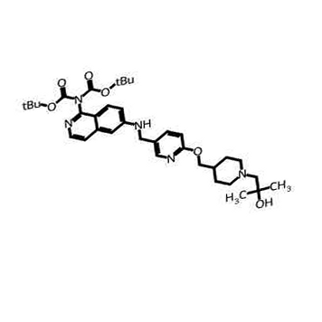 CC(C)(O)CN1CCC(COc2ccc(CNc3ccc4c(N(C(=O)OC(C)(C)C)C(=O)OC(C)(C)C)nccc4c3)cn2)CC1